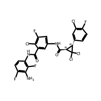 Nc1c(F)ccc(NC(=O)c2cc(NC(=O)[C@H]3[C@H](c4ccc(F)c(Cl)c4)C3(Cl)Cl)cc(F)c2Cl)c1F